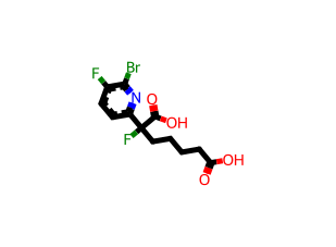 O=C(O)CCCCC(F)(C(=O)O)c1ccc(F)c(Br)n1